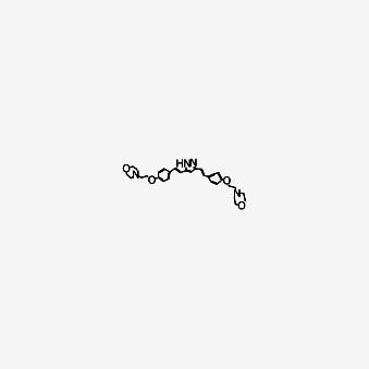 C(=Cc1cc(C=Cc2ccc(OCCN3CCOCC3)cc2)[nH]n1)c1ccc(OCCN2CCOCC2)cc1